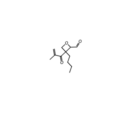 C=C(C)C(=O)C1(CCCC)COC1C=O